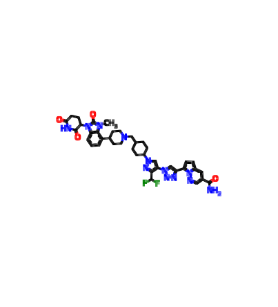 Cn1c(=O)n(C2CCC(=O)NC2=O)c2cccc(C3CCN(CC4CCC(n5cc(-n6cc(-c7ccc8cc(C(N)=O)cnn78)nn6)c(C(F)F)n5)CC4)CC3)c21